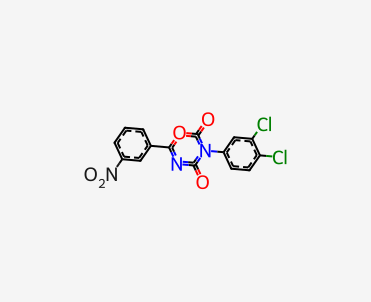 O=c1nc(-c2cccc([N+](=O)[O-])c2)oc(=O)n1-c1ccc(Cl)c(Cl)c1